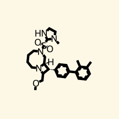 COCC1[C@@H](c2ccc(-c3cccc(C)c3C)cc2)[C@@H]2CN(S(=O)(=O)C3NCCN3C)CCCCN12